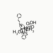 CO[C@@H]1CN(CC=Cc2ccccc2)CC[C@@H]1N(C)c1nc2ccccc2s1.O=C(O)C(=O)O